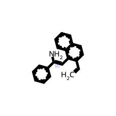 C=Cc1ccc2ccccc2c1/C=C(\N)c1ccccc1